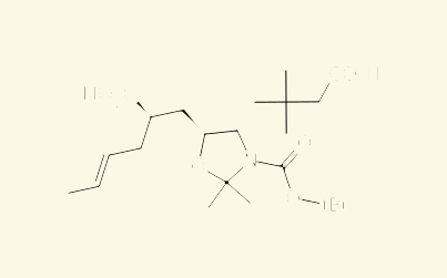 CC=CC[C@H](C[C@@H]1OC(C)(C)N(C(=O)OC(C)(C)C)[C@H]1CC(C)(C)CC(=O)O)C(=O)O